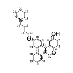 Oc1ccc2c(c1)C(c1ccc(OCCCCN3CCCCC3)cc1)[C@@H](c1ccccc1)CO2